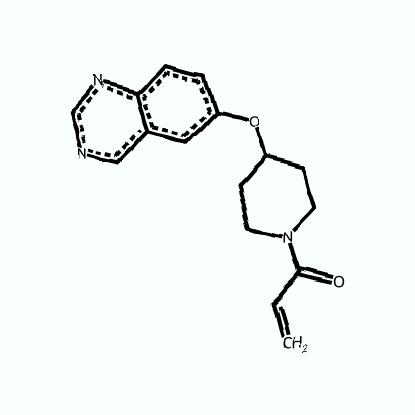 C=CC(=O)N1CCC(Oc2ccc3ncncc3c2)CC1